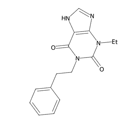 CCn1c(=O)n(CCc2ccccc2)c(=O)c2[nH]cnc21